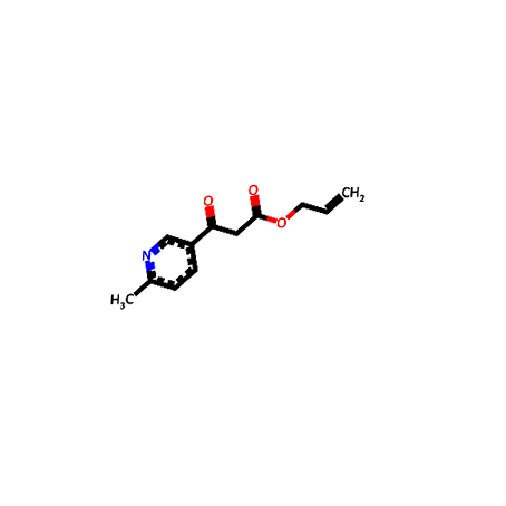 C=CCOC(=O)CC(=O)c1ccc(C)nc1